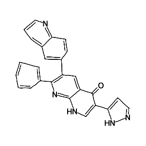 O=c1c(-c2ccn[nH]2)c[nH]c2nc(-c3ccccc3)c(-c3ccc4ncccc4c3)cc12